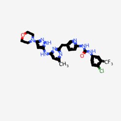 Cc1cc(Nc2cc(N3CCOCC3)n[nH]2)nc(Cc2ccc(NC(=O)Nc3ccc(Cl)c(C(F)(F)F)c3)nc2)n1